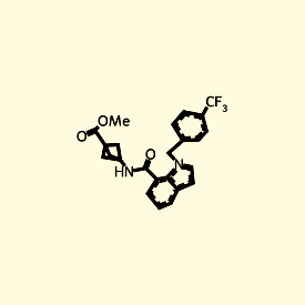 COC(=O)C12CC(NC(=O)c3cccc4ccn(Cc5ccc(C(F)(F)F)cc5)c34)(C1)C2